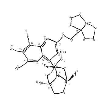 CC(C)(C)OC(=O)N1[C@H]2CC[C@H]1CN(c1nc(OCC34CCCN3CCC4)nc3c(F)c(Br)c(Cl)cc13)C2